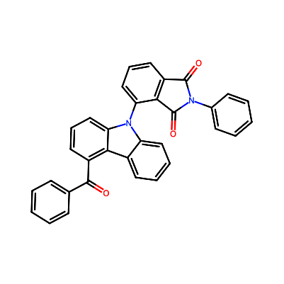 O=C(c1ccccc1)c1cccc2c1c1ccccc1n2-c1cccc2c1C(=O)N(c1ccccc1)C2=O